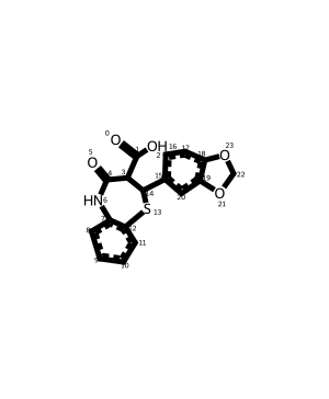 O=C(O)C1C(=O)Nc2ccccc2SC1c1ccc2c(c1)OCO2